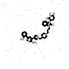 Nc1nnc(-c2ccccc2O)cc1-c1cnn(CC2CCN(CCCn3c(=O)n(C4CCC(=O)NC4=O)c4ccccc43)CC2)c1